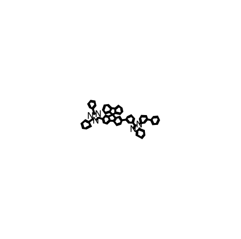 c1ccc(-c2cccc(-n3c(-c4cccc(-c5ccc6c(c5)C5(c7ccccc7-c7ccccc75)c5cc(-c7nc(-c8ccccc8)nc(-c8ccccc8)n7)ccc5-6)c4)nc4ccccc43)c2)cc1